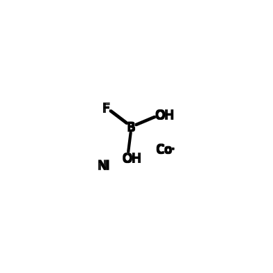 OB(O)F.[Co].[Ni]